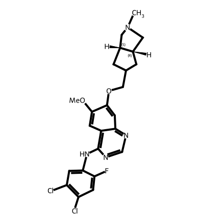 COc1cc2c(Nc3cc(Cl)c(Cl)cc3F)ncnc2cc1OCC1C[C@@H]2CN(C)C[C@@H]2C1